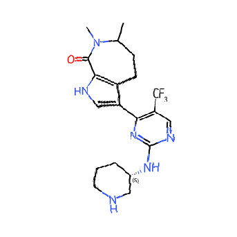 CC1CCc2c(-c3nc(N[C@H]4CCCNC4)ncc3C(F)(F)F)c[nH]c2C(=O)N1C